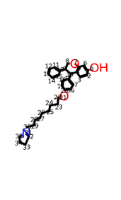 Oc1ccc2c(c1)OCC(c1ccccc1)C2c1ccc(OCCCCCCCCCN2CCCC2)cc1